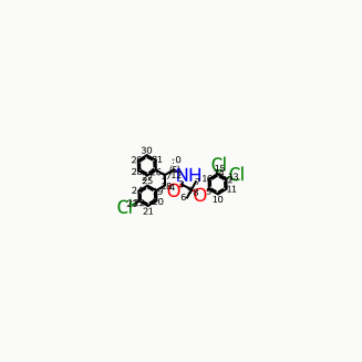 C[C@H](NC(=O)C(C)(C)Oc1ccc(Cl)c(Cl)c1)C(Cc1ccc(Cl)cc1)c1ccccc1